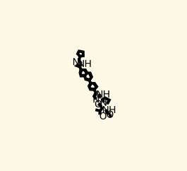 COC(=O)N[C@H](C(=O)N1CCC[C@H]1c1ncc(-c2ccc(-c3ccc4cc(-c5cnc(C6CCCC6)[nH]5)ccc4c3)cc2)[nH]1)C(C)C